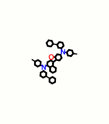 Cc1ccc(N(c2cccc(-c3ccccc3)c2)c2ccc3c(c2)oc2cc(N(c4ccc(C)cc4)c4cccc(-c5ccccc5)c4)c4ccccc4c23)cc1